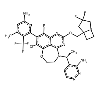 Cc1cc(N)nc(-c2c(Cl)c3c4c(nc(OCC56CCN5CC(F)(F)C6)nc4c2F)N([C@@H](C)c2ccnnc2N)CCO3)c1C(F)(F)F